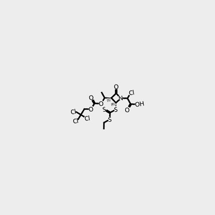 CCSC(=S)S[C@@H]1[C@@H](C(C)OC(=O)OCC(Cl)(Cl)Cl)C(=O)N1C(Cl)C(=O)O